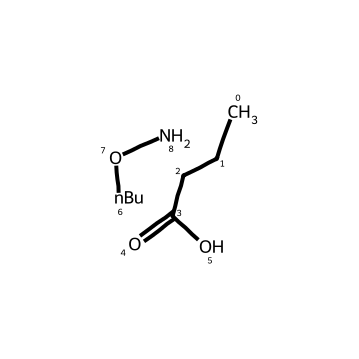 CCCC(=O)O.CCCCON